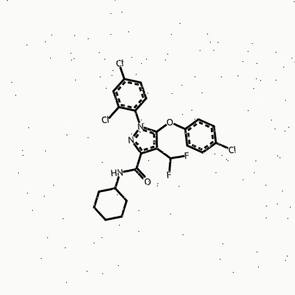 O=C(NC1CCCCC1)c1nn(-c2ccc(Cl)cc2Cl)c(Oc2ccc(Cl)cc2)c1C(F)F